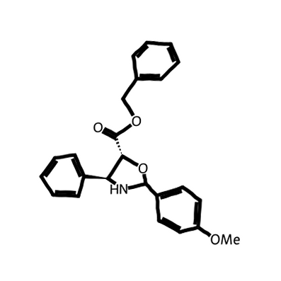 COc1ccc(C2N[C@@H](c3ccccc3)[C@H](C(=O)OCc3ccccc3)O2)cc1